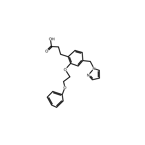 O=C(O)CCc1ccc(Cn2cccn2)cc1OCCOc1ccccc1